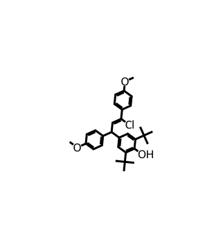 COc1ccc(C(Cl)=CC(c2ccc(OC)cc2)c2cc(C(C)(C)C)c(O)c(C(C)(C)C)c2)cc1